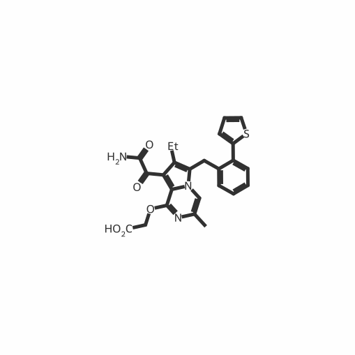 CCc1c(C(=O)C(N)=O)c2c(OCC(=O)O)nc(C)cn2c1Cc1ccccc1-c1cccs1